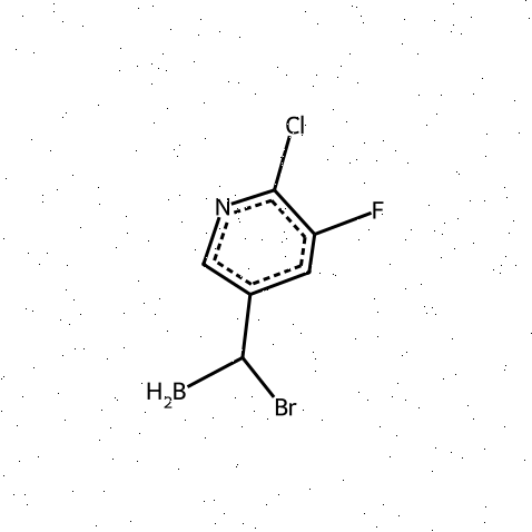 BC(Br)c1cnc(Cl)c(F)c1